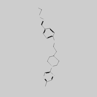 CCON=Cc1ccc(OCCC2CCN(c3cnc(Cl)cn3)CC2)cc1